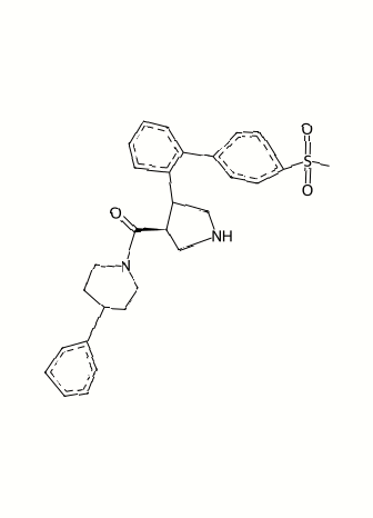 CS(=O)(=O)c1ccc(-c2ccccc2C2CNC[C@H]2C(=O)N2CCC(c3ccccc3)CC2)cc1